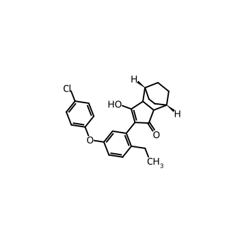 CCc1ccc(Oc2ccc(Cl)cc2)cc1C1=C(O)C2C(C1=O)[C@H]1CC[C@@H]2CC1